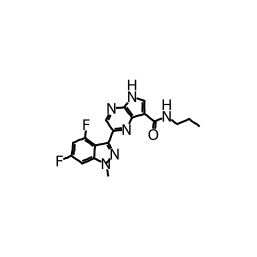 CCCNC(=O)c1c[nH]c2ncc(-c3nn(C)c4cc(F)cc(F)c34)nc12